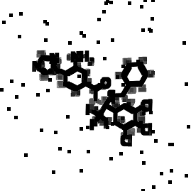 Nc1cc(C(=O)C[C@](SCc2ccccc2)(C2C=C(Cl)C(Cl)=C(Cl)C2)C(F)(F)F)ccc1-n1cncn1